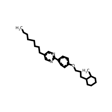 CCCCCCCCc1cnc(-c2ccc(OCCCC3CCCCC3C)cc2)nc1